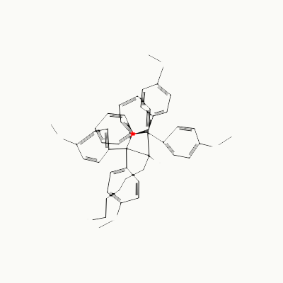 COc1ccc(C(c2ccccc2)(c2ccc(OC)cc2)C(O)(CCCCCS)C(c2ccccc2)(c2ccc(OC)cc2)c2ccc(OC)cc2)cc1